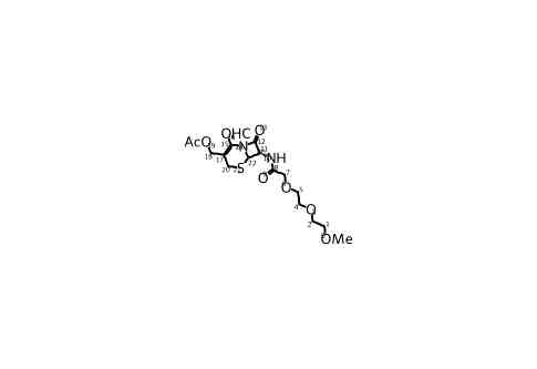 COCCOCCOCC(=O)N[C@@H]1C(=O)N2C(C=O)=C(COC(C)=O)CSC12